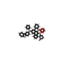 CC1C=CC=C(N(c2ccccc2)c2c(N(c3ccccc3)c3ccccc3)c3ccc(N(c4ccccc4)c4ccc5oc6ccccc6c5c4)cc3c3ccccc23)C1